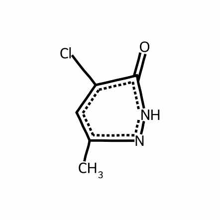 Cc1cc(Cl)c(=O)[nH]n1